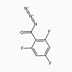 [N-]=[N+]=NC(=O)c1c(F)cc(F)cc1F